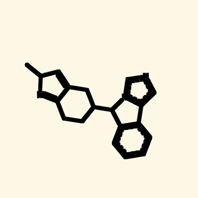 CC1C=C2CC(C3c4ccccc4-c4cncn43)CCC2=N1